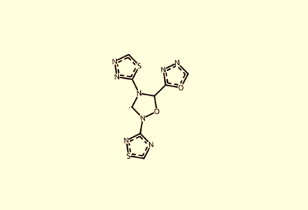 [CH]1N(c2ncsn2)OC(c2nnco2)N1c1nncs1